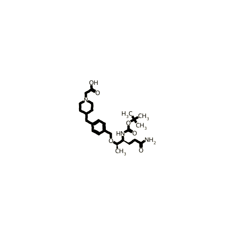 C[C@@H](OCc1ccc(CC2CCN(CC(=O)O)CC2)cc1)[C@H](CCC(N)=O)NC(=O)OC(C)(C)C